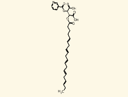 CCC=CCC=CCC=CCC=CCC=CCCCC(=O)OC(C(=O)O)C(OC(=O)c1cccnc1)C(=O)O